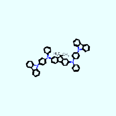 CC1(C)c2cc(N(c3ccccc3)c3ccc(-n4c5ccccc5c5ccccc54)cc3)ccc2-c2ccc(N(c3ccccc3)c3ccc(-n4c5ccccc5c5ccccc54)cc3)cc21